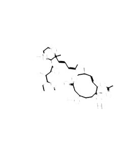 CC[C@H](OC)[C@@H](C)[C@H]1O[C@@H]1C1NCCOC1(C)/C=C/C=C(\C)[C@H]1OC(=O)C[C@H](O)CC[C@@](C)(O)[C@@H](OC(C)=O)/C=C/[C@@H]1C